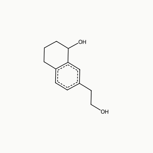 OCCc1ccc2c(c1)C(O)CCC2